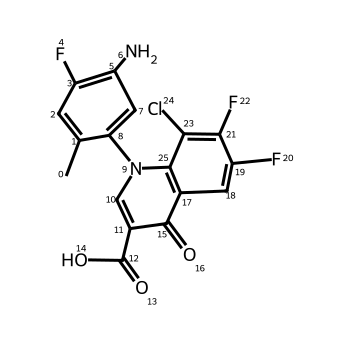 Cc1cc(F)c(N)cc1-n1cc(C(=O)O)c(=O)c2cc(F)c(F)c(Cl)c21